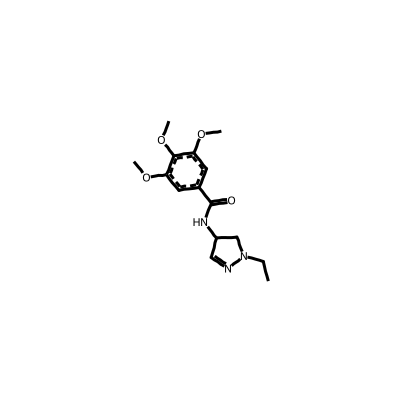 CCN1CC(NC(=O)c2cc(OC)c(OC)c(OC)c2)C=N1